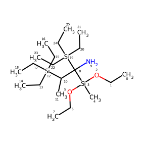 CCO[Si](C)(OCC)C(N)(C(C)[Si](CC)(CC)CC)[Si](CC)(CC)CC